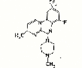 CC1C=CN2C(=N1)C(N1CCN(C)CC1)=Nc1c(F)cc(C(F)(F)F)cc12